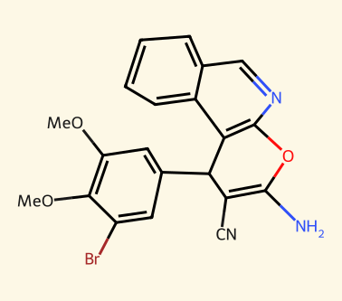 COc1cc(C2C(C#N)=C(N)Oc3ncc4ccccc4c32)cc(Br)c1OC